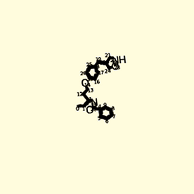 Cc1oc(-c2ccccc2)nc1CCOc1ccc(C=C2CNOC2)cc1